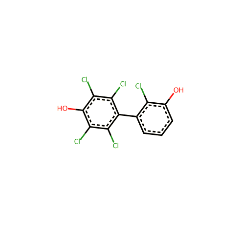 Oc1cccc(-c2c(Cl)c(Cl)c(O)c(Cl)c2Cl)c1Cl